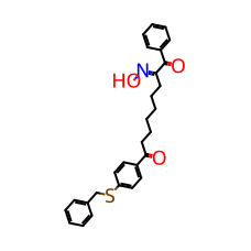 O=C(CCCCCCC(=NO)C(=O)c1ccccc1)c1ccc(SCc2ccccc2)cc1